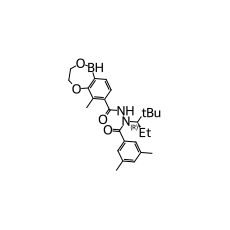 CC[C@@H](N(NC(=O)c1ccc2c(c1C)OCCOB2)C(=O)c1cc(C)cc(C)c1)C(C)(C)C